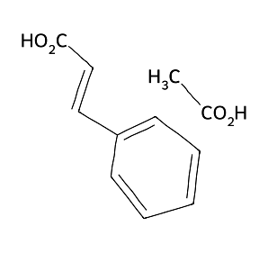 CC(=O)O.O=C(O)/C=C/c1ccccc1